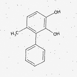 Cc1ccc(O)c(O)c1-c1ccccc1